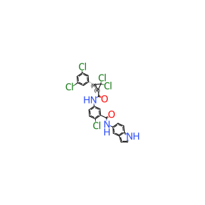 O=C(Nc1ccc2[nH]ccc2c1)c1cc(NC(=O)[C@H]2[C@H](c3cc(Cl)cc(Cl)c3)C2(Cl)Cl)ccc1Cl